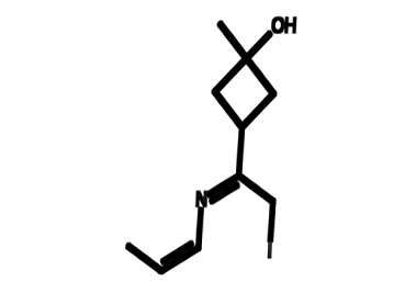 C/C=C\N=C(/CI)C1CC(C)(O)C1